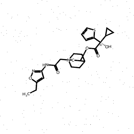 CCc1cc(NC(=O)C[N+]23CCC(CC2)C(OC(=O)[C@@](O)(c2cccs2)C2CC2)C3)no1